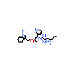 C=C\C=C/C=C(N)/C(N)=N/C(=C\C(=C)OCCc1c[nH]c2ccccc12)c1cccnc1